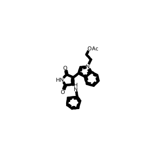 CC(=O)OCCn1cc(C2=C(Nc3ccccc3)C(=O)NC2=O)c2ccccc21